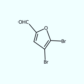 O=[C]c1cc(Br)c(Br)o1